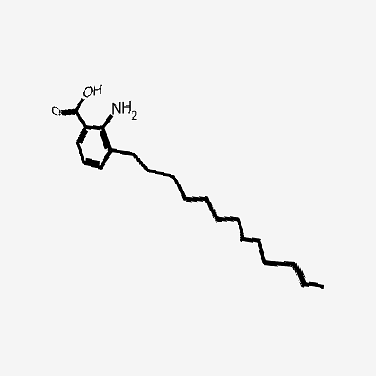 CCCCCCCCCCCCCc1cccc(C(=O)O)c1N